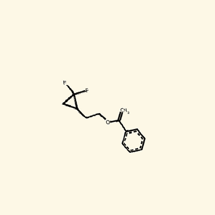 C=C(OCCC1CC1(F)F)c1ccccc1